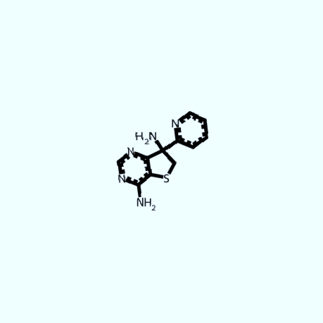 Nc1ncnc2c1SCC2(N)c1ccccn1